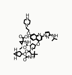 CC[C@@H]1C[C@]1(NC(=O)[C@@H]1C[C@@H](Oc2cc(-n3ccc(NC(C)C)n3)nc3cc(OCCN4CCNCC4)ccc23)CN1C(=O)[C@@H](NC(=O)OC1C[C@@H]2C[C@@H]2C1)C(C)(C)C)C(=O)O